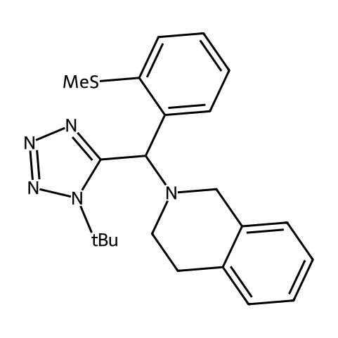 CSc1ccccc1C(c1nnnn1C(C)(C)C)N1CCc2ccccc2C1